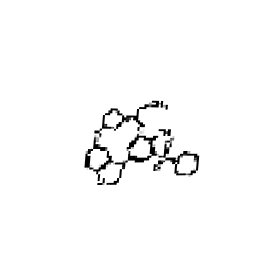 CCC(=O)N1CCC(Oc2ccc3c(c2)N(c2ccc(C)c(S(=O)(=O)N4CCCCC4)c2)CCO3)C1